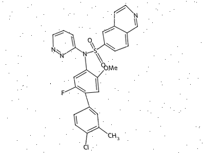 COc1cc(-c2ccc(Cl)c(C)c2)c(F)cc1N(c1cccnn1)S(=O)(=O)c1ccc2cnccc2c1